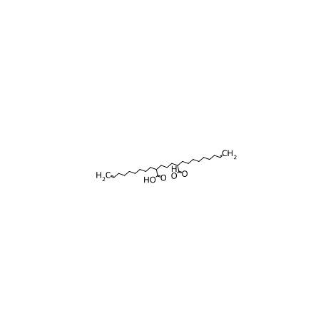 C=CCCCCCCCC(CCCC(CCCCCCCC=C)C(=O)O)C(=O)O